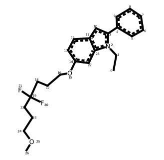 CCn1c(-c2ccccc2)cc2ccc(OCCCC(F)(F)CCCOC)cc21